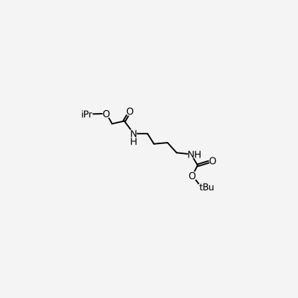 CC(C)OCC(=O)NCCCCNC(=O)OC(C)(C)C